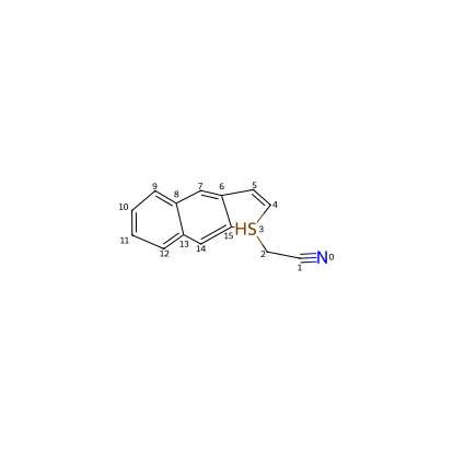 N#CC[SH]1C=Cc2cc3ccccc3cc21